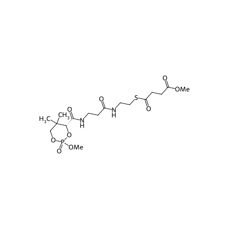 COC(=O)CCC(=O)SCCNC(=O)CCNC(=O)[C@@H]1OP(=O)(OC)OCC1(C)C